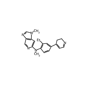 CCc1cc(C2=CC=NCC2)ccc1N(C)c1cc2c(cn1)ncn2C